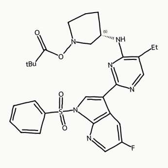 CCc1cnc(-c2cn(S(=O)(=O)c3ccccc3)c3ncc(F)cc23)nc1N[C@H]1CCCN(OC(=O)C(C)(C)C)C1